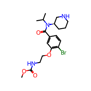 COC(=O)NCCOc1cc(C(=O)N(C(C)C)[C@@H]2CCCNC2)ccc1Br